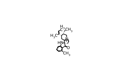 C/C=C(/C)[C@H]1C[C@@H]2N(CC[C@]23Nc2cccc(C)c2C3=O)C[C@H]1CC